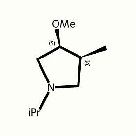 CO[C@@H]1CN(C(C)C)C[C@@H]1C